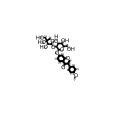 COc1ccc(-c2coc3cc(OC4OC(CO)C(O)C(O)C4OC4OCC(O)(CO)C4O)ccc3c2=O)cc1